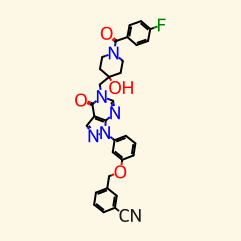 N#Cc1cccc(COc2cccc(-n3ncc4c(=O)n(CC5(O)CCN(C(=O)c6ccc(F)cc6)CC5)cnc43)c2)c1